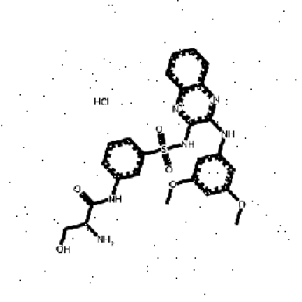 COc1cc(Nc2nc3ccccc3nc2NS(=O)(=O)c2cccc(NC(=O)C(N)CO)c2)cc(OC)c1.Cl